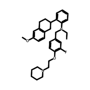 CCN(Cc1ccc(OCCN2CCCCC2)c(F)c1)c1ccccc1C1CCc2cc(OC)ccc2C1